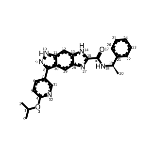 CC(C)Oc1ccc(-c2n[nH]c3cc4[nH]c(C(=O)N[C@H](C)c5ccccc5)nc4cc23)cn1